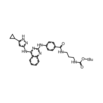 CC(C)(C)OC(=O)NCCCNC(=O)c1ccc(Nc2nc(Nc3cc(C4CC4)[nH]n3)c3ccccc3n2)cc1